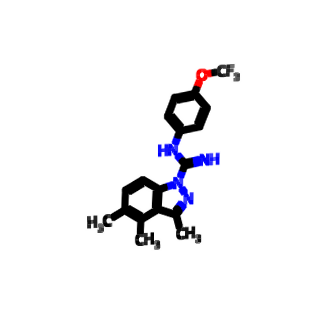 Cc1ccc2c(c(C)nn2C(=N)Nc2ccc(OC(F)(F)F)cc2)c1C